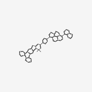 CC1(C)C=C(c2ccc(-c3ccc4ccc5c(-c6cccc7ccccc67)ccc6ccc3c4c65)cc2)C=C2C=c3cc4c5ccccc5c5ccccc5c4cc3=C21